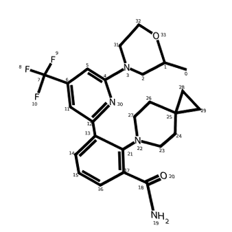 CC1CN(c2cc(C(F)(F)F)cc(-c3cccc(C(N)=O)c3N3CCC4(CC3)CC4)n2)CCO1